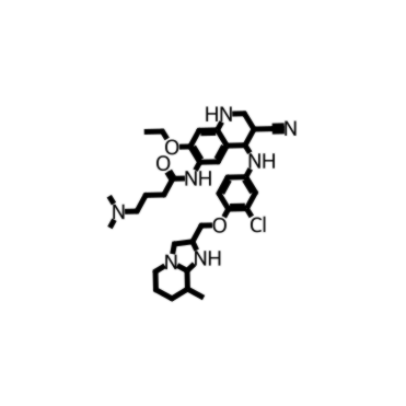 CCOc1cc2c(cc1NC(=O)CCCN(C)C)C(Nc1ccc(OCC3CN4CCCC(C)C4N3)c(Cl)c1)C(C#N)CN2